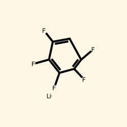 Fc1cc(F)c(F)c(F)c1F.[Li]